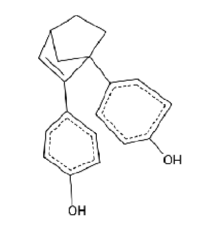 Oc1ccc(C2=CC3CCC2(c2ccc(O)cc2)C3)cc1